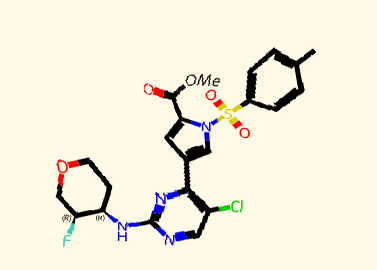 COC(=O)c1cc(-c2nc(N[C@@H]3CCOC[C@@H]3F)ncc2Cl)cn1S(=O)(=O)c1ccc(C)cc1